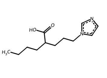 CCCCC(CCCn1ccnc1)C(=O)O